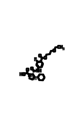 CCOCCCOC(=O)c1ccc(NC(=O)[C@@H]2[C@H](C3CCCCC3)CCN2C(=O)O)cc1F